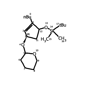 CCCCC1=C[C@H](OC2CCCCO2)CC1O[Si](C)(C)C(C)(C)C